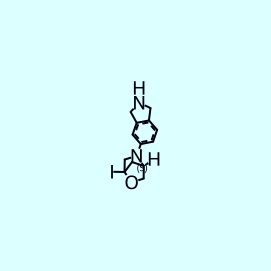 IC12C[C@@H](CO1)N(c1ccc3c(c1)CNC3)C2